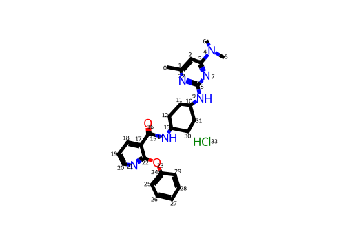 Cc1cc(N(C)C)nc(NC2CCC(NC(=O)c3cccnc3Oc3ccccc3)CC2)n1.Cl